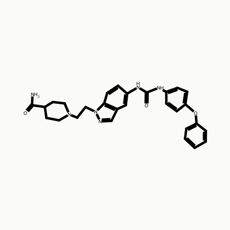 NC(=O)C1CCN(CCn2ncc3cc(NC(=O)Nc4ccc(Oc5ccccc5)cc4)ccc32)CC1